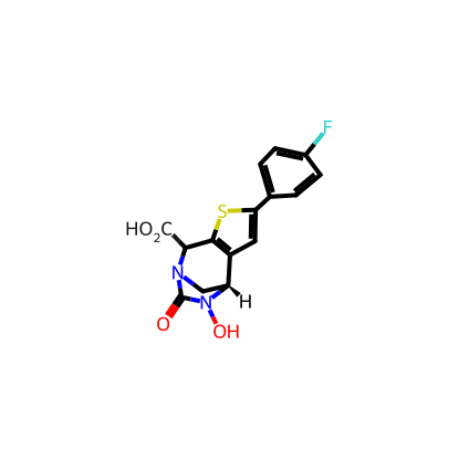 O=C(O)C1c2sc(-c3ccc(F)cc3)cc2[C@H]2CN1C(=O)N2O